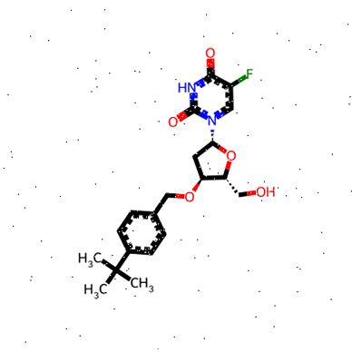 CC(C)(C)c1ccc(CO[C@H]2C[C@H](n3cc(F)c(=O)[nH]c3=O)O[C@@H]2CO)cc1